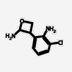 Nc1c(Cl)cccc1C1COC1N